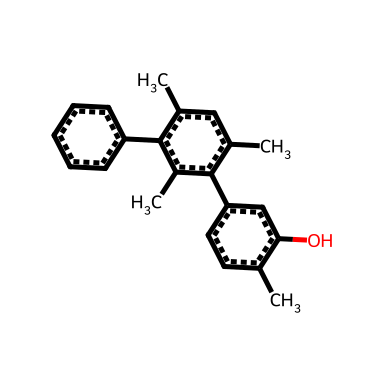 Cc1ccc(-c2c(C)cc(C)c(-c3ccccc3)c2C)cc1O